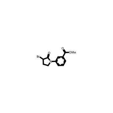 COC(=O)c1cccc(N2CCC(Br)C2=O)c1